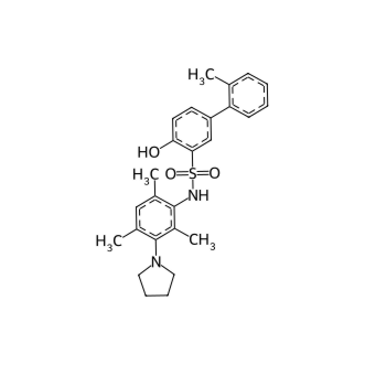 Cc1ccccc1-c1ccc(O)c(S(=O)(=O)Nc2c(C)cc(C)c(N3CCCC3)c2C)c1